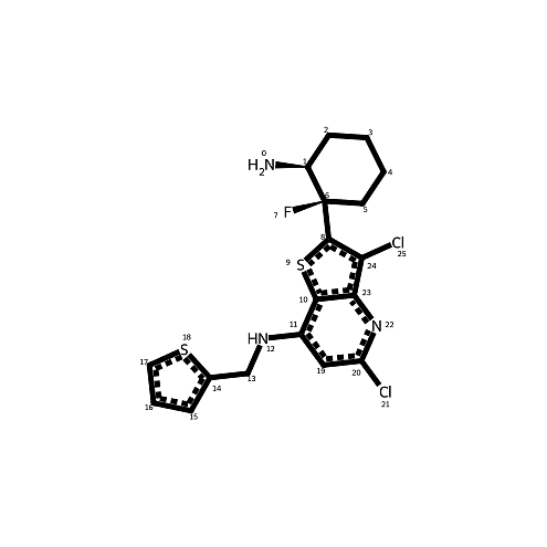 N[C@H]1CCCC[C@]1(F)c1sc2c(NCc3cccs3)cc(Cl)nc2c1Cl